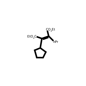 CCC/C(C(=O)OCC)=C(/C(=O)OCC)C1CCCC1